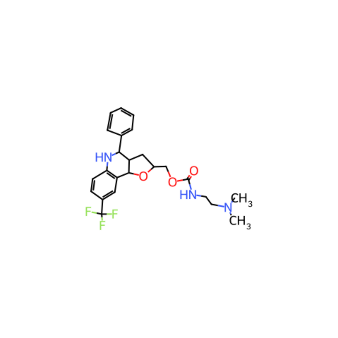 CN(C)CCNC(=O)OCC1CC2C(c3ccccc3)Nc3ccc(C(F)(F)F)cc3C2O1